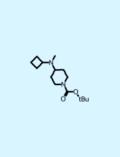 CN(C1CCC1)C1CCN(C(=O)OC(C)(C)C)CC1